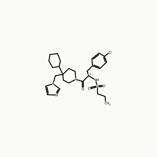 CCCS(=O)(=O)N[C@H](Cc1ccc(Cl)cc1)C(=O)N1CCC(Cn2ccnc2)(C2CCCCC2)CC1